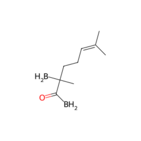 BC(=O)C(B)(C)CCC=C(C)C